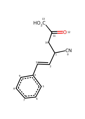 N#CC(C=Cc1ccccc1)CC(=O)C(=O)O